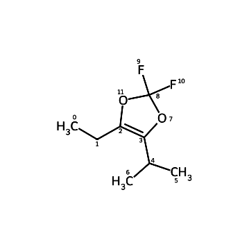 CCC1=C(C(C)C)OC(F)(F)O1